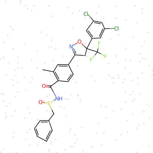 Cc1cc(C2=NOC(c3cc(Cl)cc(Cl)c3)(C(F)(F)F)C2)ccc1C(=O)N[S+]([O-])Cc1ccccc1